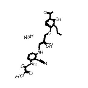 CCCc1c(OCC(O)CNc2cccc(NC(=O)C(=O)O)c2C#N)ccc(C(C)=O)c1O.[NaH]